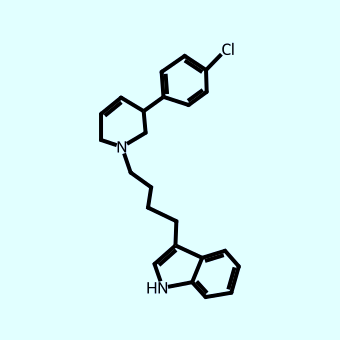 Clc1ccc(C2C=CCN(CCCCc3c[nH]c4ccccc34)C2)cc1